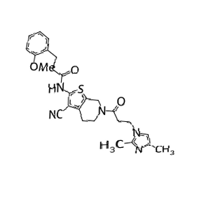 COc1ccccc1CCC(=O)Nc1sc2c(c1C#N)CCN(C(=O)CCn1cc(C)nc1C)C2